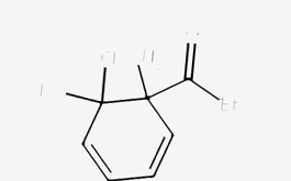 [CH2]C1(C(=O)CC)C=CC=CC1(C)C